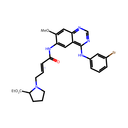 CCOC(=O)C1CCCN1C/C=C/C(=O)Nc1cc2c(Nc3cccc(Br)c3)ncnc2cc1OC